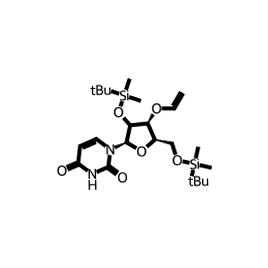 C=CO[C@@H]1C(O[Si](C)(C)C(C)(C)C)[C@H](n2ccc(=O)[nH]c2=O)O[C@@H]1CO[Si](C)(C)C(C)(C)C